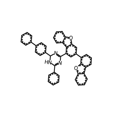 c1ccc(C2=NC(c3cc(-c4cccc5c4oc4ccccc45)cc4oc5ccccc5c34)=NC(c3ccc(-c4ccccc4)cc3)N2)cc1